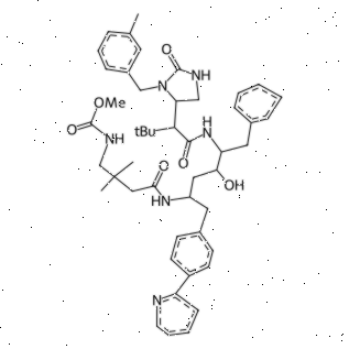 COC(=O)NCC(C)(C)CC(=O)NC(Cc1ccc(-c2ccccn2)cc1)CC(O)C(Cc1ccccc1)NC(=O)C(C1CNC(=O)N1Cc1cccc(C)c1)C(C)(C)C